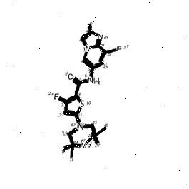 Cc1cn2cc(NC(=O)c3sc(N4CC(C)(C)NC(C)(C)C4)cc3F)cc(F)c2n1